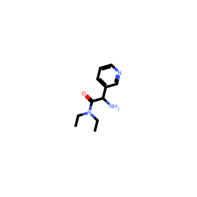 CCN(CC)C(=O)C(N)c1cccnc1